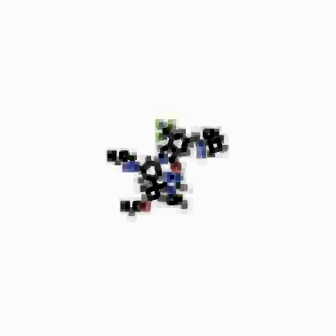 CCNc1cc(N2Cc3c(cc(CNC4(C)CCC4)cc3C(F)(F)F)C2=O)cc(C2(c3nncn3C)CC(OC)C2)c1